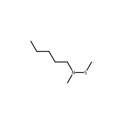 [C]SN(C)CCCCC